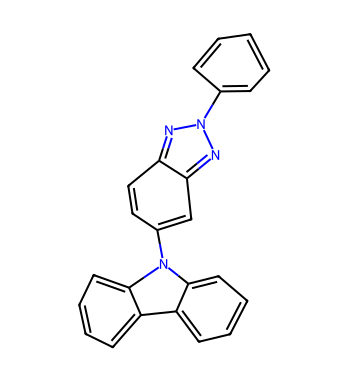 c1ccc(-n2nc3ccc(-n4c5ccccc5c5ccccc54)cc3n2)cc1